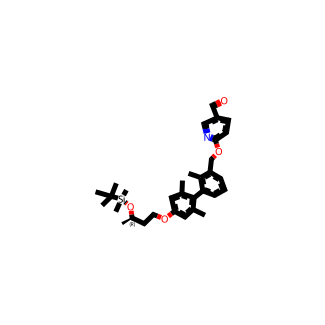 Cc1cc(OCC[C@@H](C)O[Si](C)(C)C(C)(C)C)cc(C)c1-c1cccc(COc2ccc(C=O)cn2)c1C